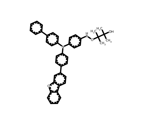 CC(C)(O)C(C)(C)OBc1ccc(N(c2ccc(-c3ccccc3)cc2)c2ccc(-c3ccc4c(c3)oc3ccccc34)cc2)cc1